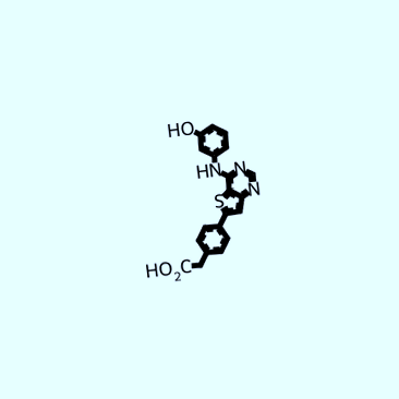 O=C(O)Cc1ccc(-c2cc3ncnc(Nc4cccc(O)c4)c3s2)cc1